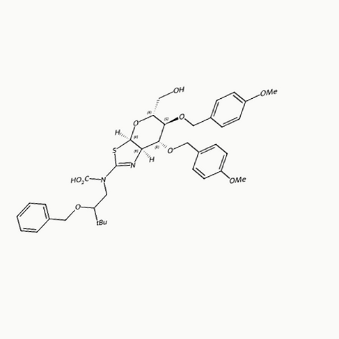 COc1ccc(CO[C@@H]2[C@H]3N=C(N(CC(OCc4ccccc4)C(C)(C)C)C(=O)O)S[C@H]3O[C@H](CO)[C@H]2OCc2ccc(OC)cc2)cc1